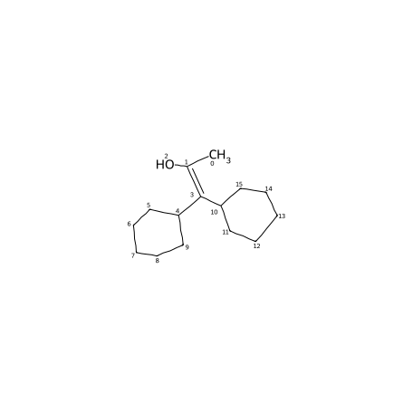 CC(O)=C(C1CCCCC1)C1CCCCC1